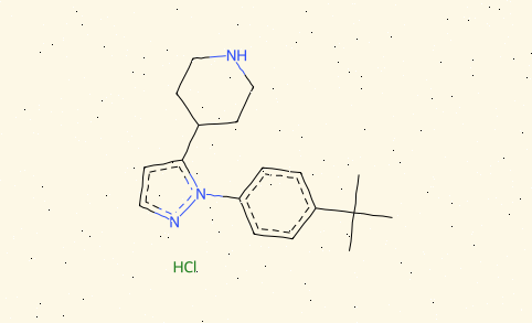 CC(C)(C)c1ccc(-n2nccc2C2CCNCC2)cc1.Cl